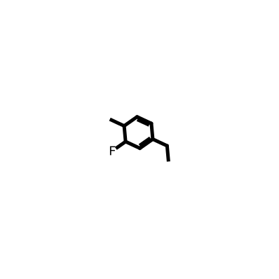 CCC1=CC(F)C(C)C=C1